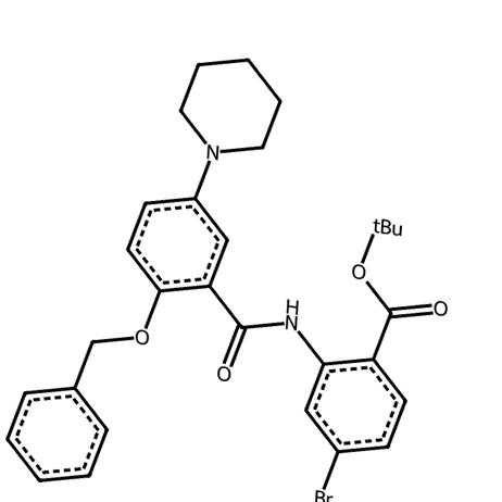 CC(C)(C)OC(=O)c1ccc(Br)cc1NC(=O)c1cc(N2CCCCC2)ccc1OCc1ccccc1